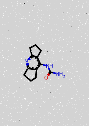 NC(=O)Nc1c2c(nc3c1CCC3)CCC2